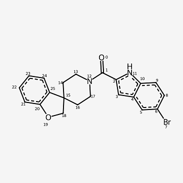 O=C(c1cc2cc(Br)ccc2[nH]1)N1CCC2(CC1)COc1ccccc12